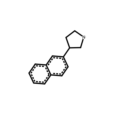 c1ccc2cc(C3CC[N]C3)ccc2c1